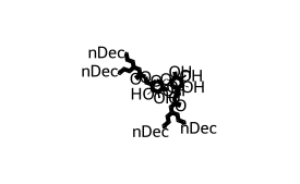 CCCCCCCCCCCCCC(CCCCCCCCCCCCC)CC(=O)OCC1O[C@H](O[C@H]2OC(COC(=O)CC(CCCCCCCCCCCCC)CCCCCCCCCCCCC)[C@@H](O)[C@H](O)C2O)C(O)[C@@H](O)[C@@H]1O